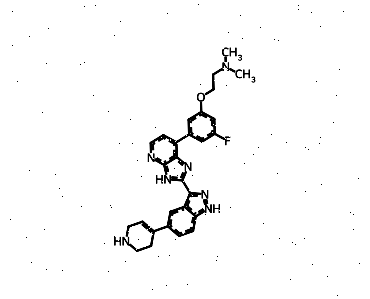 CN(C)CCOc1cc(F)cc(-c2ccnc3[nH]c(-c4n[nH]c5ccc(C6=CCNCC6)cc45)nc23)c1